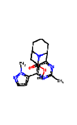 Cc1nc(-c2ccnn2C)c2c(n1)C1CCCC(C2)N1C(=O)OC(C)(C)C